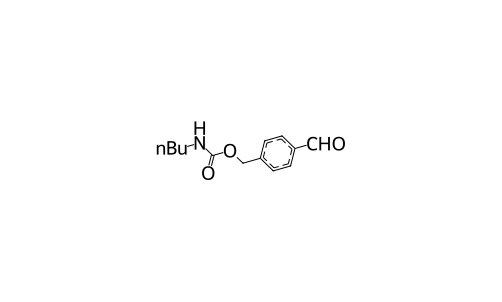 CCCCNC(=O)OCc1ccc(C=O)cc1